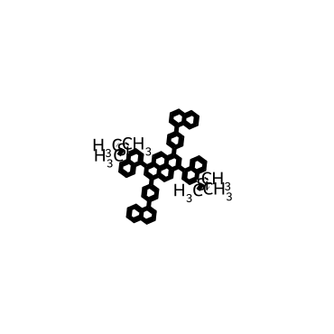 C[Si](C)(C)c1ccc(-c2cc(-c3ccc(-c4cccc5ccccc45)cc3)c3ccc4c(-c5ccc([Si](C)(C)C)c6ccccc56)cc(-c5ccc(-c6cccc7ccccc67)cc5)c5ccc2c3c54)c2ccccc12